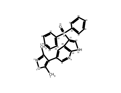 Cc1noc(C)c1-c1cnc2[nH]cc(P(=O)(c3ccccc3)c3ccccc3)c2c1